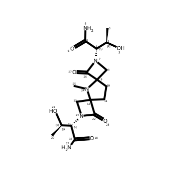 C[C@@H](O)[C@@H](C(N)=O)N1CC2(CCC3(CN([C@H](C(N)=O)[C@@H](C)O)C3=O)N2C)C1=O